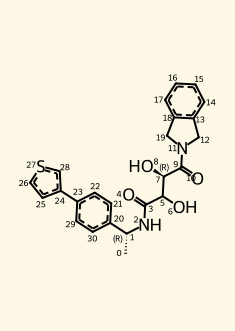 C[C@@H](NC(=O)C(O)[C@@H](O)C(=O)N1Cc2ccccc2C1)c1ccc(-c2ccsc2)cc1